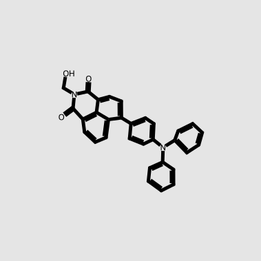 O=C1c2cccc3c(-c4ccc(N(c5ccccc5)c5ccccc5)cc4)ccc(c23)C(=O)N1CO